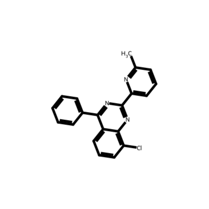 Cc1cccc(-c2nc(-c3ccccc3)c3cccc(Cl)c3n2)n1